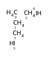 C.C.C.C.I.I